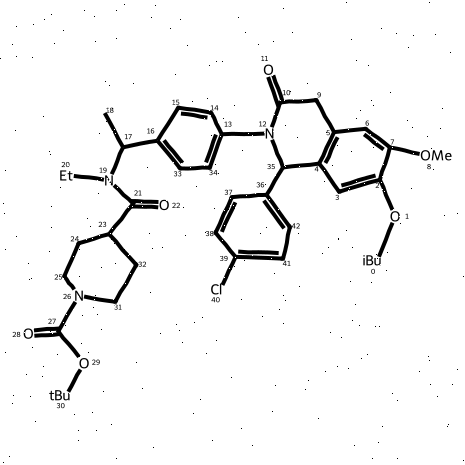 CCC(C)Oc1cc2c(cc1OC)CC(=O)N(c1ccc(C(C)N(CC)C(=O)C3CCN(C(=O)OC(C)(C)C)CC3)cc1)C2c1ccc(Cl)cc1